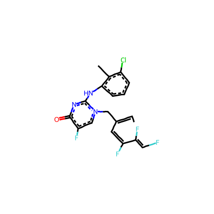 C\C=C(/C=C(F)\C(F)=C\F)Cn1cc(F)c(=O)nc1Nc1cccc(Cl)c1C